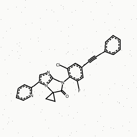 O=C1N(c2c(F)cc(C#Cc3ccccc3)cc2Cl)c2ncc(-c3ccccn3)n2C12CC2